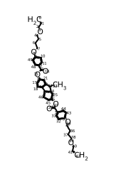 C=CCOCCCCOc1ccc(C(=O)Oc2ccc3c(c2)C(C)c2cc(OC(=O)c4ccc(OCCCCOCC=C)cc4)ccc2-3)cc1